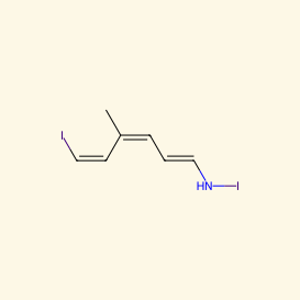 CC(/C=C\I)=C/C=C/NI